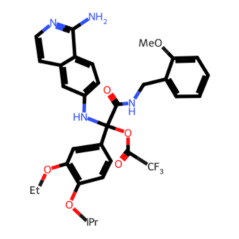 CCOc1cc(C(Nc2ccc3c(N)nccc3c2)(OC(=O)C(F)(F)F)C(=O)NCc2ccccc2OC)ccc1OC(C)C